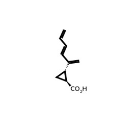 C=CC=CC(=C)[C@H]1C[C@@H]1C(=O)O